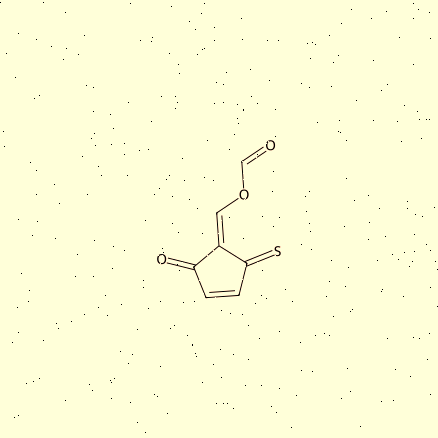 O=CO/C=C1/C(=O)C=CC1=S